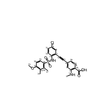 CNc1cc(C#Cc2cc(Cl)ccc2NS(=O)(=O)c2ccc(OC)c(C)c2C)cnc1C(=O)O